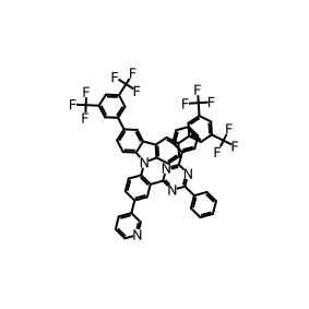 FC(F)(F)c1cc(-c2ccc3c(c2)c2cc(-c4cc(C(F)(F)F)cc(C(F)(F)F)c4)ccc2n3-c2ccc(-c3cccnc3)cc2-c2nc(-c3ccccc3)nc(-c3ccccc3)n2)cc(C(F)(F)F)c1